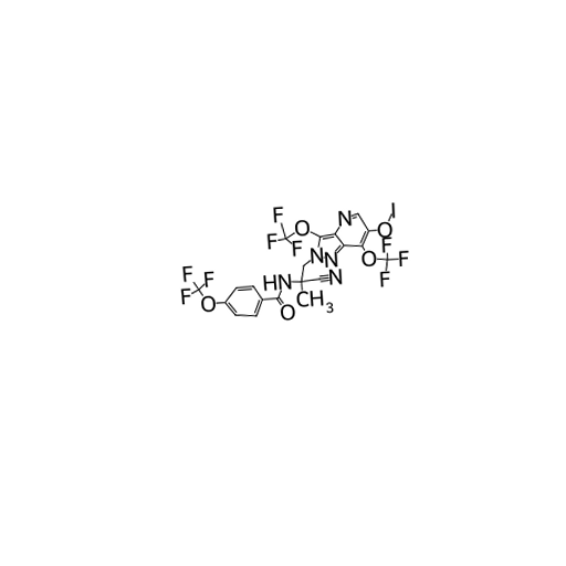 CC(C#N)(Cn1nc2c(OC(F)(F)F)c(OI)cnc2c1OC(F)(F)F)NC(=O)c1ccc(OC(F)(F)F)cc1